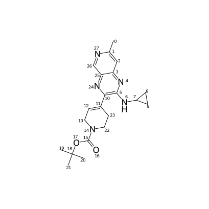 Cc1cc2nc(NC3CC3)c(C3=CCN(C(=O)OC(C)(C)C)CC3)nc2cn1